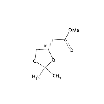 COC(=O)C[C@H]1COC(C)(C)O1